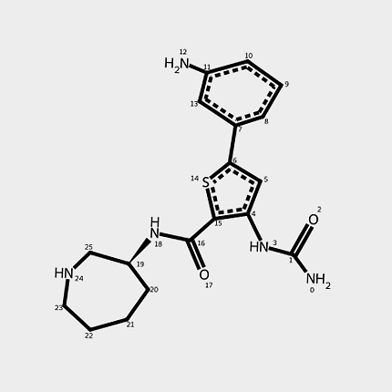 NC(=O)Nc1cc(-c2cccc(N)c2)sc1C(=O)N[C@H]1CCCCNC1